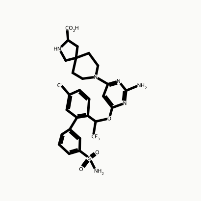 Nc1nc(OC(c2ccc(Cl)cc2-c2cccc(S(N)(=O)=O)c2)C(F)(F)F)cc(N2CCC3(CC2)CNC(C(=O)O)C3)n1